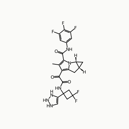 Cc1c(C(=O)C(=O)NC2(C3=CNNN3)CC(F)(F)C2)c2n(c1C(=O)Nc1cc(F)c(F)c(F)c1)[C@@H]1C[C@@H]1C2